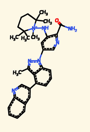 Cc1nn(-c2cnc(C(N)=O)c(N[N+]3(C)C(C)(C)CCCC3(C)C)c2)c2cccc(-c3cnc4ccccc4c3)c12